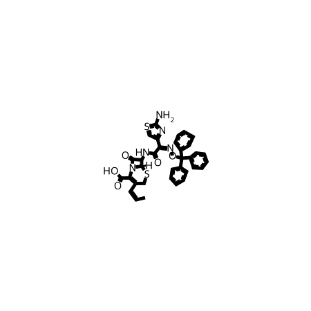 C/C=C\C1=C(C(=O)O)N2C(=O)C(NC(=O)/C(=N\OC(c3ccccc3)(c3ccccc3)c3ccccc3)c3csc(N)n3)[C@@H]2SC1